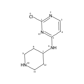 Clc1nccc(NC2CCNCC2)n1